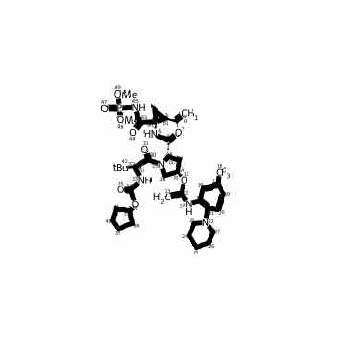 C=C[C@@H]1C[C@]1(NC(=O)[C@@H]1C[C@@H](OC(=C)Nc2cc(C(F)(F)F)ccc2N2CCCCC2)CN1C(=O)[C@@H](NC(=O)OC1CCCC1)C(C)(C)C)C(=O)NP(=O)(OC)OC